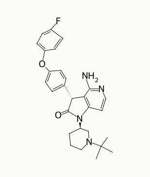 CC(C)(C)N1CCC[C@@H](N2C(=O)[C@H](c3ccc(Oc4ccc(F)cc4)cc3)c3c2ccnc3N)C1